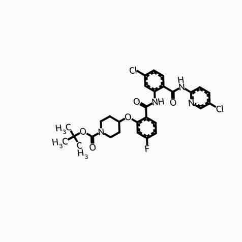 CC(C)(C)OC(=O)N1CCC(Oc2cc(F)ccc2C(=O)Nc2cc(Cl)ccc2C(=O)Nc2ccc(Cl)cn2)CC1